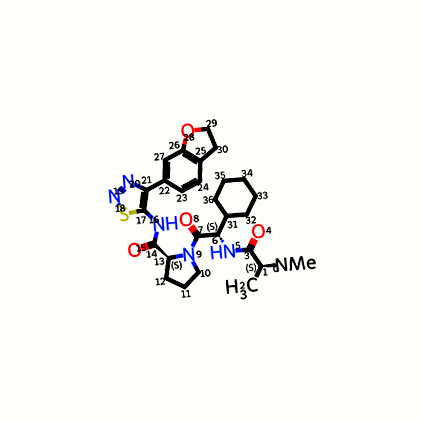 CN[C@@H](C)C(=O)N[C@H](C(=O)N1CCC[C@H]1C(=O)Nc1snnc1-c1ccc2c(c1)OCC2)C1CCCCC1